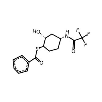 O=C(S[C@@H]1CC[C@@H](NC(=O)C(F)(F)F)C[C@H]1O)c1ccccc1